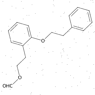 O=COCCc1ccccc1OCCc1ccccc1